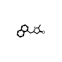 CC1SC(Cc2cccc3ccccc23)CC1=O